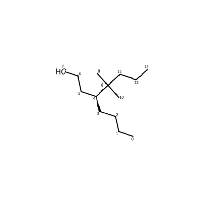 CCCC[C@@H](CCO)C(C)(C)CCC